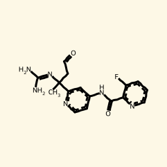 CC(CC=O)(N=C(N)N)c1cc(NC(=O)c2ncccc2F)ccn1